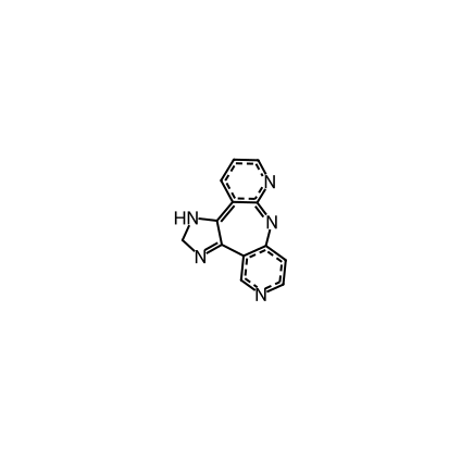 c1cnc2c(c1)=C1NCN=C1c1cnccc1N=2